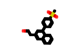 CS(=O)(=O)c1ccc(-c2cc(CC=O)cc3ccccc23)cc1